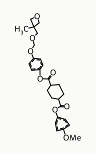 COc1ccc(OC(=O)C2CCC(C(=O)Oc3ccc(OCOCC4(C)COC4)cc3)CC2)cc1